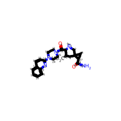 CN1CC2(CC(C(=O)O)C1C(=O)N1CCN(c3ccc4ccccc4n3)CC1)CC2C(N)=O